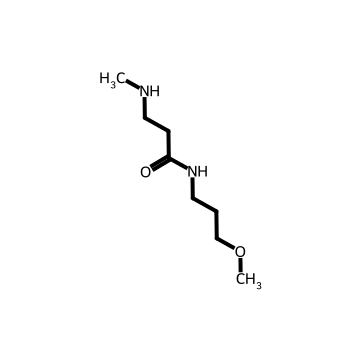 CNCCC(=O)NCCCOC